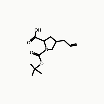 C=CCC1CC(C(=O)O)N(C(=O)OC(C)(C)C)C1